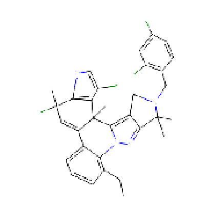 CCc1cccc2c1-n1nc3c(c1C1(C)C2=CC(C)(F)c2[nH]cc(Cl)c21)CN(Cc1ccc(F)cc1F)C3(C)C